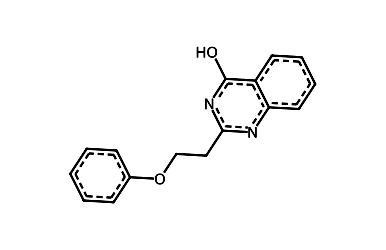 Oc1nc(CCOc2ccccc2)nc2ccccc12